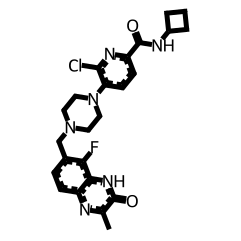 Cc1nc2ccc(CN3CCN(c4ccc(C(=O)NC5CCC5)nc4Cl)CC3)c(F)c2[nH]c1=O